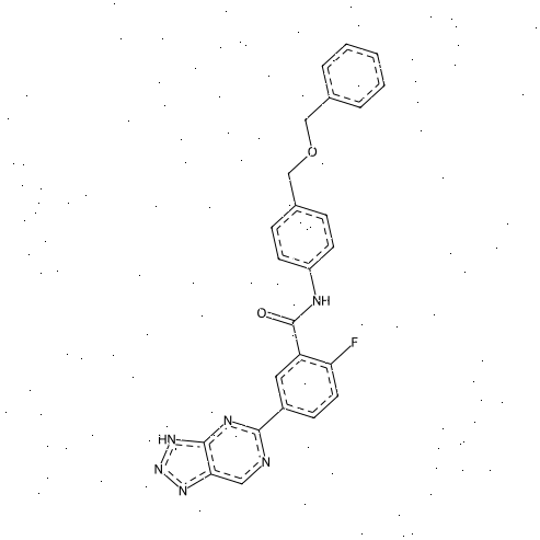 O=C(Nc1ccc(COCc2ccccc2)cc1)c1cc(-c2ncc3nn[nH]c3n2)ccc1F